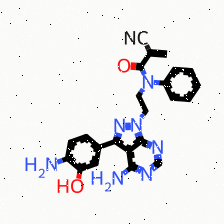 C=C(C#N)C(=O)N(CCn1nc(-c2ccc(N)c(O)c2)c2c(N)ncnc21)c1ccccc1